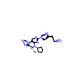 CC[C@@H]1c2nncn2-c2cnc(-n3cnc(CCN)c3)nc2N1C1CCCC1